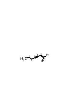 [CH2]CCC#CC=C(F)F